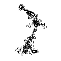 COC(=O)[C@H](CNC(=O)c1ccc2c(CCCNC3=NCCCC3)nn(C)c2c1)NS(=O)(=O)c1c(C)cc(OCCCC(=O)NCCNC(=O)[C@H](CCC(=O)OC(C)(C)C)NC(=O)OCc2ccccc2)cc1C